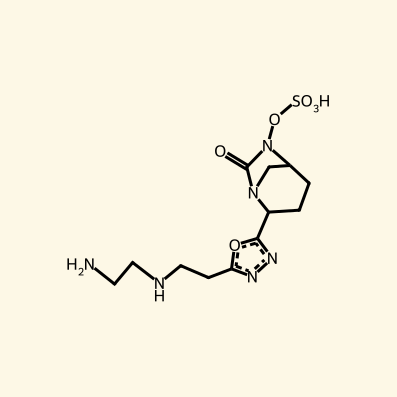 NCCNCCc1nnc(C2CCC3CN2C(=O)N3OS(=O)(=O)O)o1